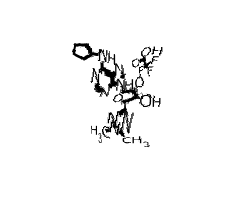 Cc1nc([C@H]2O[C@@H](n3cnc4c(NC5CCCC5)ncnc43)[C@H](O)[C@@H]2O)nn1C.O=C(O)C(F)(F)F